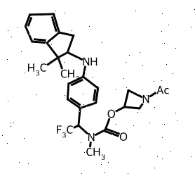 CC(=O)N1CC(OC(=O)N(C)C(c2ccc(NC3Cc4ccccc4C3(C)C)cc2)C(F)(F)F)C1